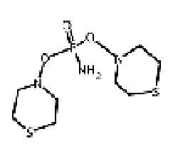 NP(=O)(ON1CCSCC1)ON1CCSCC1